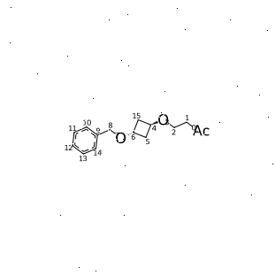 CC(=O)CCO[C@H]1C[C@H](OCc2ccccc2)C1